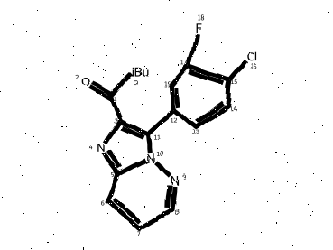 CCC(C)C(=O)c1nc2cccnn2c1-c1ccc(Cl)c(F)c1